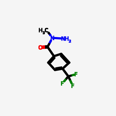 CN(N)C(=O)c1ccc(C(F)(F)F)cc1